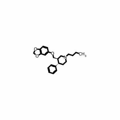 CCCCN1CC[C@H](c2ccccc2)[C@@H](COc2ccc3c(c2)OCO3)C1